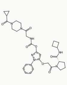 O=C(NCC(=O)N1CCN(C(=O)C2CC2)CC1)Oc1cc(OCC(=O)N2CCC[C@H]2C(=O)NC2CCC2)n(-c2ccccc2)n1